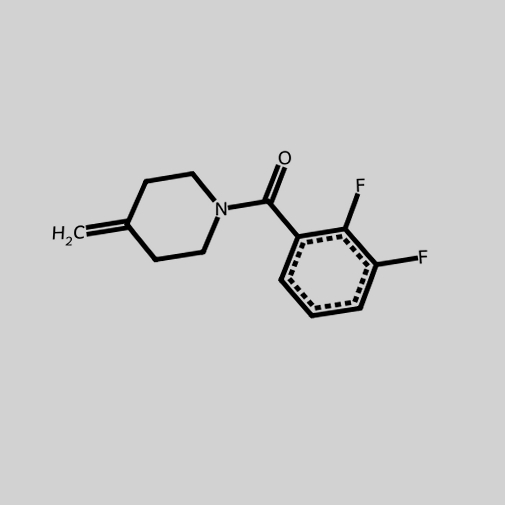 C=C1CCN(C(=O)c2cccc(F)c2F)CC1